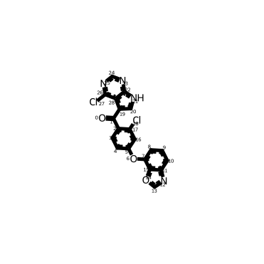 O=C(c1ccc(Oc2cccc3ncoc23)cc1Cl)c1c[nH]c2ncnc(Cl)c12